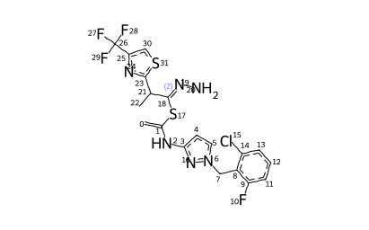 C=C(Nc1ccn(Cc2c(F)cccc2Cl)n1)S/C(=N\N)C(C)c1nc(C(F)(F)F)cs1